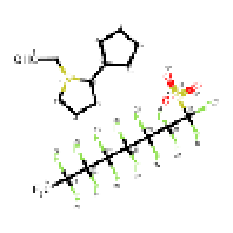 O=CC[S+]1CCCC1C1CCCC1.O=S(=O)([O-])C(F)(F)C(F)(F)C(F)(F)C(F)(F)C(F)(F)C(F)(F)C(F)(F)C(F)(F)F